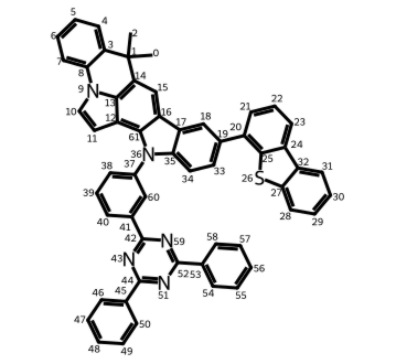 CC1(C)c2ccccc2-n2ccc3c2c1cc1c2cc(-c4cccc5c4sc4ccccc45)ccc2n(-c2cccc(-c4nc(-c5ccccc5)nc(-c5ccccc5)n4)c2)c13